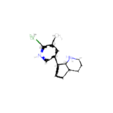 Cc1cc(C2=CCC3CCCNC23)cnc1Br